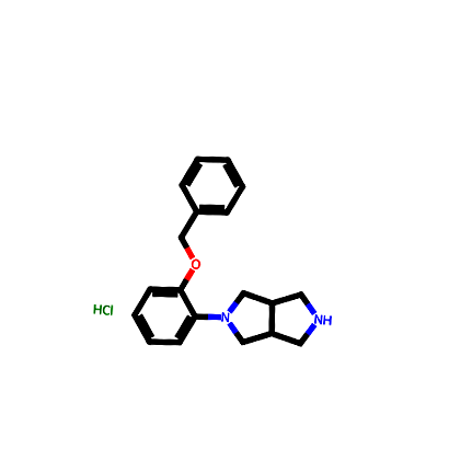 Cl.c1ccc(COc2ccccc2N2CC3CNCC3C2)cc1